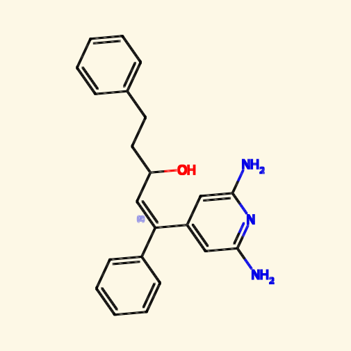 Nc1cc(/C(=C\C(O)CCc2ccccc2)c2ccccc2)cc(N)n1